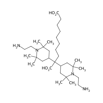 CC1(C)CC(C(CCCCCCCC(=O)O)(C(=O)O)C2CC(C)(C)N(CCN)C(C)(C)C2)CC(C)(C)N1CCN